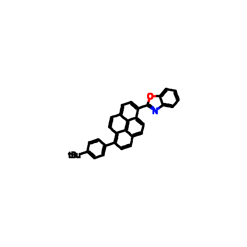 CC(C)(C)c1ccc(-c2ccc3ccc4c(-c5nc6ccccc6o5)ccc5ccc2c3c54)cc1